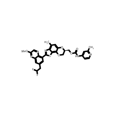 COc1cnc2c(-c3nc4c(C)cc5c(c4s3)OC[C@H](COC(=O)Nc3ccnc(C)c3)O5)cc(CC(F)F)cc2n1